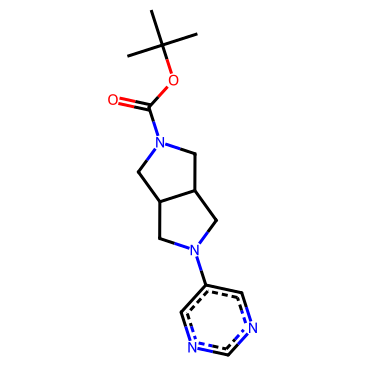 CC(C)(C)OC(=O)N1CC2CN(c3cncnc3)CC2C1